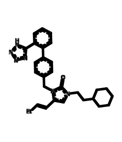 CCC=Cc1cn(CCC2CCCCC2)c(=O)n1Cc1ccc(-c2ccccc2-c2nnn[nH]2)cc1